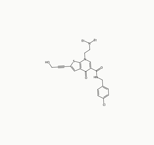 CCN(CC)CCn1cc(C(=O)NCc2ccc(Cl)cc2)c(=O)c2cc(C#CCO)sc21